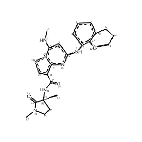 CNc1cc(Nc2cccc3c2OCCC3)nc2c(C(=O)N[C@]3(C)CCN(C)C3=O)cnn12